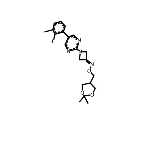 [CH2]c1cccc(-c2cnc(N3CC(=NOCC4COC(C)(C)OC4)C3)nc2)c1F